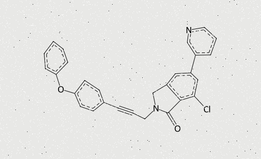 O=C1c2c(Cl)cc(-c3cccnc3)cc2CN1CC#Cc1ccc(Oc2ccccc2)cc1